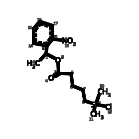 CC(OC(=O)CCCC[Si](C)(C)Cl)c1ccccc1[N+](=O)[O-]